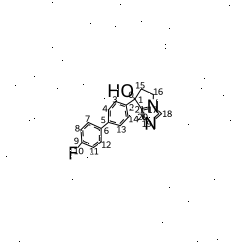 OC1(c2ccc(-c3ccc(F)cc3)cc2)CCn2cncc21